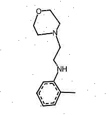 Cc1c[c]ccc1NCCN1CCOCC1